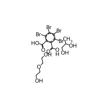 CC(O)CO.O=C(O)c1c(Br)c(Br)c(Br)c(Br)c1C(=O)O.OCCOCCO